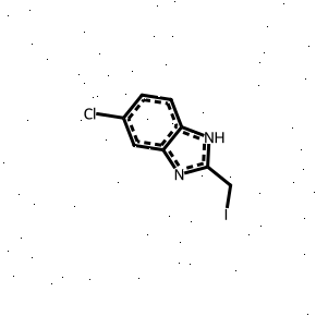 Clc1ccc2[nH]c(CI)nc2c1